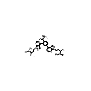 CC(C)N(C(C)C)C(C)CCn1ncc2c(-c3ccc(C(N)=O)c(-c4ncnc5c4cnn5CCC(C)N(C(C)C)C(C)C)c3)ncnc21.Cl